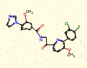 COc1cc(C(=O)NCC(=O)c2ccc(OC)c(-c3ccc(F)c(Cl)c3)n2)ccc1-n1ccnc1